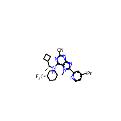 CC(C)c1ccnc(-c2nc3nc(C#N)nc(N[C@H](C)C4CCC4)c3n2C[C@H]2CC[C@H](C(F)(F)F)CC2)c1